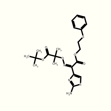 CC(C)(C)OC(=O)C(C)(C)ON=C(C(=O)OCCSc1ccccc1)c1csc(N)n1